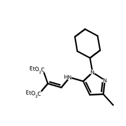 CCOC(=O)C(=CNc1cc(C)nn1C1CCCCC1)C(=O)OCC